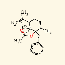 C=C(C)C1CC=C(C)C(Cc2ccccc2)(OC(C)=O)C1(C)C